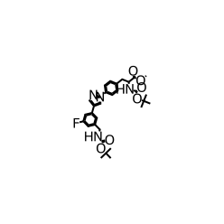 COC(=O)C(Cc1ccc(-n2cc(-c3cc(F)cc(CNC(=O)OC(C)(C)C)c3)cn2)cc1)NC(=O)OC(C)(C)C